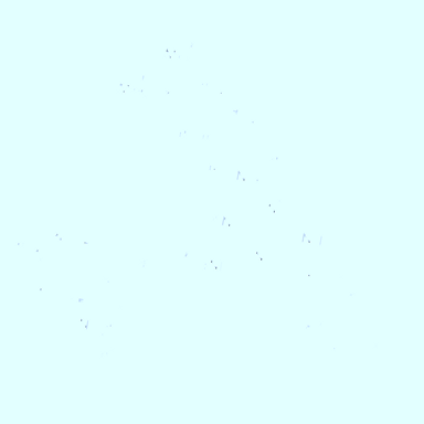 CCN(C(=O)c1ccc(CNc2nc(NCCC3CC=CS3)nc(N3CCc4cc(OC)c(OC)cc4C3)n2)cc1)c1cccc(C)c1